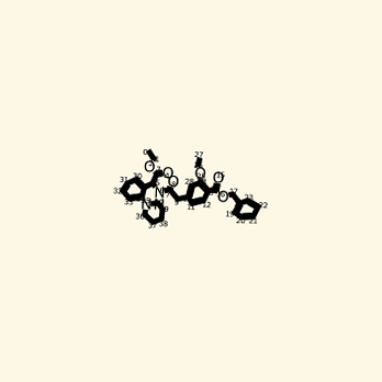 CCOC(=O)C(NC(=O)Cc1ccc(C(=O)OCc2ccccc2)c(OCC)c1)c1ccccc1N1CCCCC1